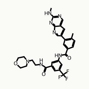 CNc1ncc2cc(-c3cc(C(=O)Nc4cc(C(=O)NCCN5CCOCC5)cc(C(F)(F)F)c4)ccc3C)cnc2n1